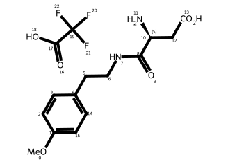 COc1ccc(CCNC(=O)[C@@H](N)CC(=O)O)cc1.O=C(O)C(F)(F)F